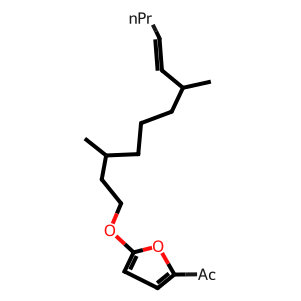 CCCC=CC(C)CCCC(C)CCOc1ccc(C(C)=O)o1